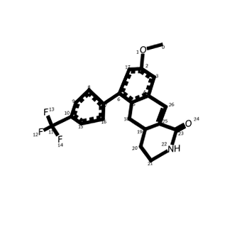 COc1cc2c(c(-c3ccc(C(F)(F)F)cc3)c1)CC1CCNC(=O)C1=C2